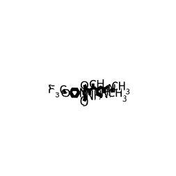 CC(c1ccnc(CN(C)C)c1)C1NC(=O)N(c2ccc(OC(F)(F)F)cc2)C1=O